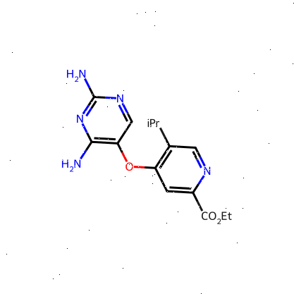 CCOC(=O)c1cc(Oc2cnc(N)nc2N)c(C(C)C)cn1